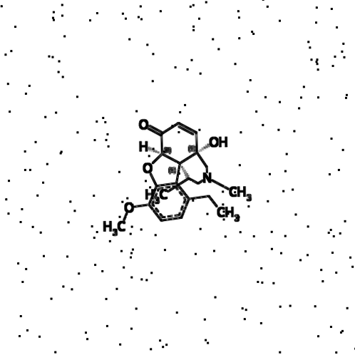 CCc1ccc(OC)c2c1[C@]13C(C)CN(C)C[C@]1(O)C=CC(=O)[C@@H]3O2